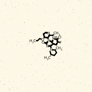 CCCOc1ccnc(C(C)C)c1-n1c(=O)nc(N2C[C@@H](C)CC[C@@H]2C)c2cc(F)c(Cl)nc21